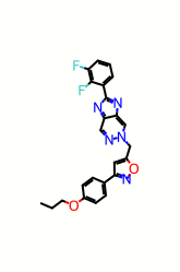 CCCOc1ccc(-c2cc(Cn3cc4nc(-c5cccc(F)c5F)nc-4cn3)on2)cc1